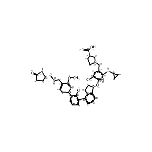 COC1=NC(c2cccc(-c3cccc4c3CC[C@@H]4Oc3nc(OC4CC4)c(CN4CC[C@@H](C(=O)O)C4)cc3Cl)c2Cl)CC=C1CNC[C@@H]1CCC(=O)N1